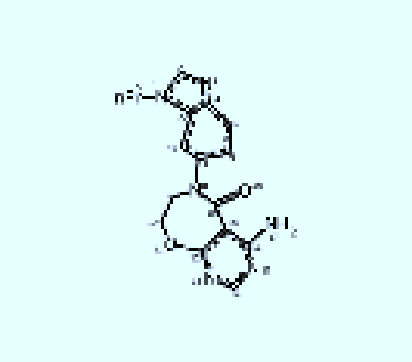 CCCn1cnc2ccc(N3CCOc4ncnc(N)c4C3=O)cc21